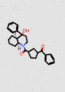 O=C(c1ccccc1)C1CCC(C(=O)N2CC[C@@](O)(c3ccccc3)[C@@H]3CCCC[C@@H]32)C1